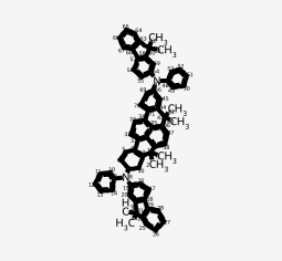 CC1(C)C2=C(C=CC(N(c3ccccc3)c3ccc4c(c3)C(C)(C)c3ccccc3-4)C2)c2ccc3c4c(ccc1c24)C(C)(C)c1cc(N(c2ccccc2)c2ccc4c(c2)C(C)(C)c2ccccc2-4)ccc1-3